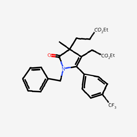 CCOC(=O)CCC1(C)C(=O)N(Cc2ccccc2)C(c2ccc(C(F)(F)F)cc2)=C1CC(=O)OCC